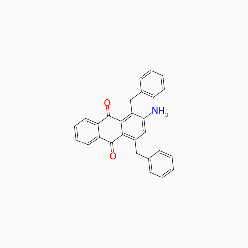 Nc1cc(Cc2ccccc2)c2c(c1Cc1ccccc1)C(=O)c1ccccc1C2=O